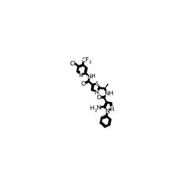 C[C@@H](NC(=O)c1cnn(-c2ccccc2)c1N)c1ncc(C(=O)Nc2cc(C(F)(F)F)c(Cl)cn2)s1